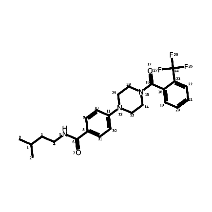 CC(C)CCNC(=O)c1ccc(N2CCN(C(=O)c3ccccc3C(F)(F)F)CC2)cc1